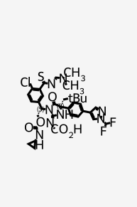 CN(C)C=NC(=S)c1cc([C@@H](COC(=O)NC2CC2)N2C(=O)[C@@](CC(C)(C)C)(c3ccc(-c4cnn(C(F)F)c4)cc3)NC2=NC(=O)O)ccc1Cl